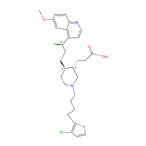 COc1ccc2nccc([C@H](F)CC[C@@H]3CCN(CCCCc4sccc4Cl)C[C@H]3CCC(=O)O)c2c1